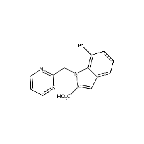 CC(C)c1cccc2cc(C(=O)O)n(Cc3ncccn3)c12